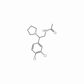 CC(=O)NCC(c1ccc(Cl)c(Cl)c1)N1CCCC1